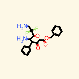 NCC(F)(F)C(=O)C(N)C(C(=O)CC(=O)OCc1ccccc1)c1ccccc1